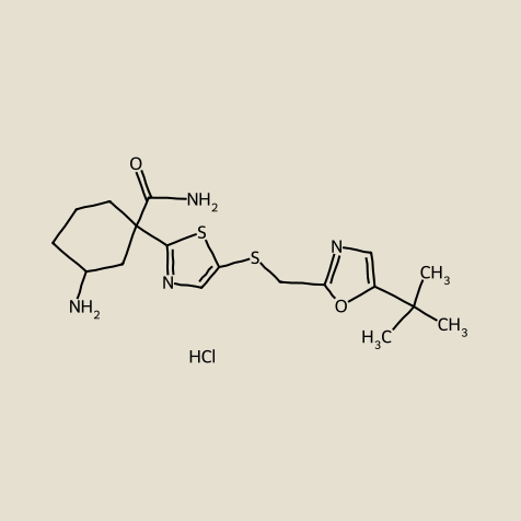 CC(C)(C)c1cnc(CSc2cnc(C3(C(N)=O)CCCC(N)C3)s2)o1.Cl